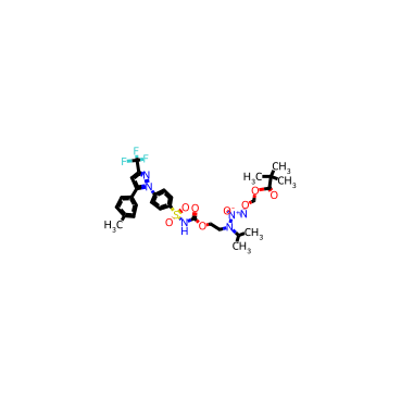 Cc1ccc(-c2cc(C(F)(F)F)nn2-c2ccc(S(=O)(=O)NC(=O)OCCN(C(C)C)[N+]([O-])=NOCOC(=O)C(C)(C)C)cc2)cc1